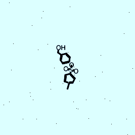 Cc1ccc(S(=O)(=O)Oc2ccc(CO)cc2)cc1